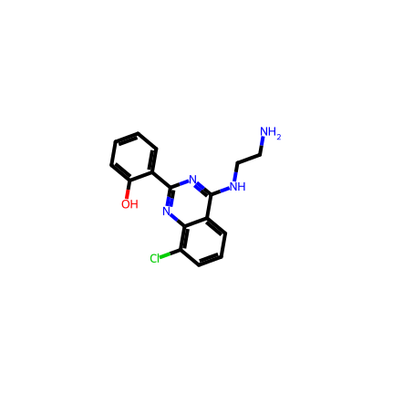 NCCNc1nc(-c2ccccc2O)nc2c(Cl)cccc12